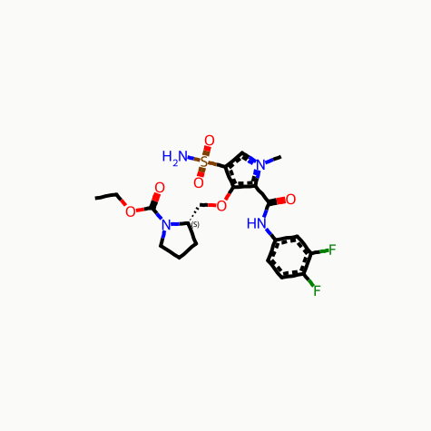 CCOC(=O)N1CCC[C@H]1COc1c(S(N)(=O)=O)cn(C)c1C(=O)Nc1ccc(F)c(F)c1